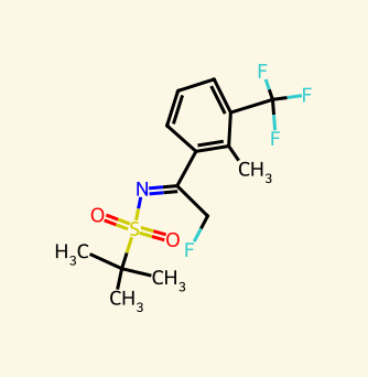 Cc1c(/C(CF)=N/S(=O)(=O)C(C)(C)C)cccc1C(F)(F)F